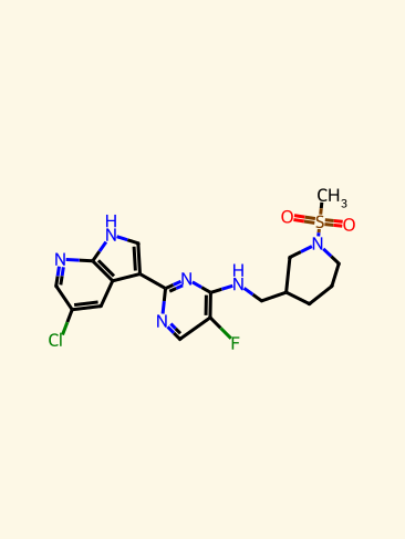 CS(=O)(=O)N1CCCC(CNc2nc(-c3c[nH]c4ncc(Cl)cc34)ncc2F)C1